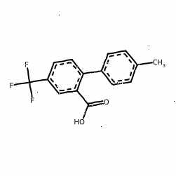 Cc1ccc(-c2ccc(C(F)(F)F)cc2C(=O)O)cc1